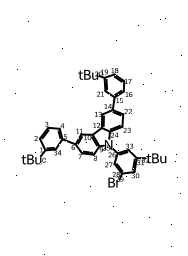 CC(C)(C)c1cccc(-c2ccc3c(c2)c2cc(-c4cccc(C(C)(C)C)c4)ccc2n3-c2cc(Br)cc(C(C)(C)C)c2)c1